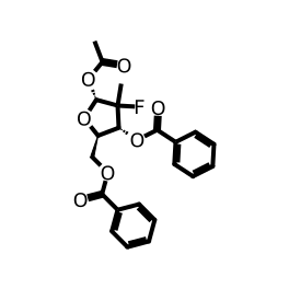 CC(=O)O[C@H]1O[C@H](COC(=O)c2ccccc2)[C@@H](OC(=O)c2ccccc2)C1(C)F